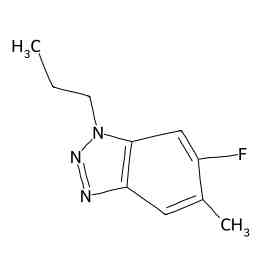 CCCn1nnc2cc(C)c(F)cc21